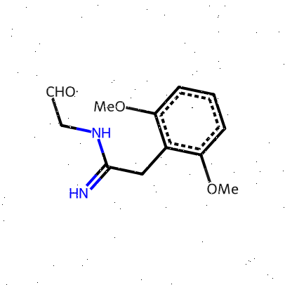 COc1cccc(OC)c1CC(=N)NC[C]=O